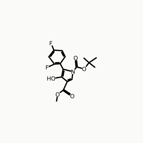 COC(=O)c1cn(C(=O)OC(C)(C)C)c(-c2ccc(F)cc2F)c1O